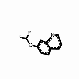 FC(F)Oc1ccc2cccnc2c1